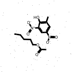 CCCCCOC(C)=O.Cc1cc([N+](=O)[O-])cc([N+](=O)[O-])c1O